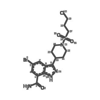 NC(=O)c1cc(Br)cc2c(C3CCN(S(=O)(=O)CCCCl)CC3)n[nH]c12